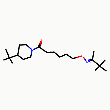 C/C(=N\OCCCCCC(=O)N1CCC(C(C)(C)C)CC1)C(C)(C)C